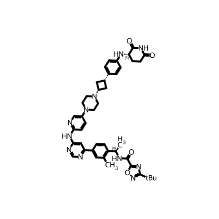 Cc1cc(-c2cc(Nc3ccc(N4CCN([C@H]5C[C@@H](c6ccc(N[C@H]7CCC(=O)NC7=O)cc6)C5)CC4)cn3)ncn2)ccc1[C@@H](C)NC(=O)c1nc(C(C)(C)C)no1